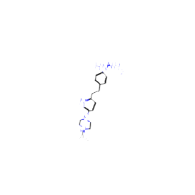 CC(=O)N1CCN(c2ccc(CCc3ccc(NN)cc3)nc2)CC1